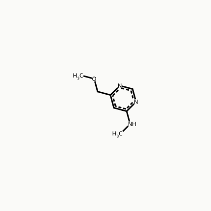 CNc1cc(COC)ncn1